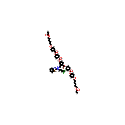 C=CC(=O)OCCCCCCOc1ccc(OC(=O)[C@H]2CC[C@@H](OC(=O)c3ccc(OC(=O)[C@H]4CC[C@@H](OC(=O)c5ccc(OCCCCCCOC(=O)C=C)cc5)CC4)cc3/C=N/N(CCCC(F)(F)F)c3nc4ccccc4s3)CC2)cc1